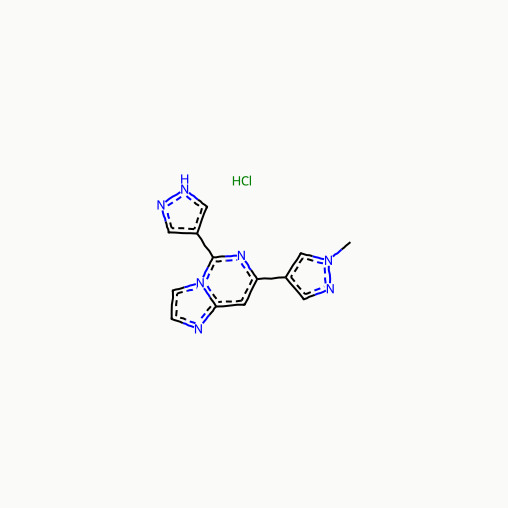 Cl.Cn1cc(-c2cc3nccn3c(-c3cn[nH]c3)n2)cn1